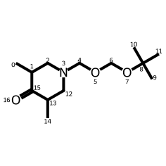 CC1CN(COCOC(C)(C)C)CC(C)C1=O